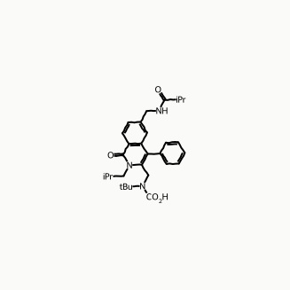 CC(C)Cn1c(CN(C(=O)O)C(C)(C)C)c(-c2ccccc2)c2cc(CNC(=O)C(C)C)ccc2c1=O